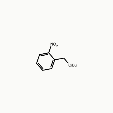 CC(C)COCc1ccccc1[N+](=O)[O-]